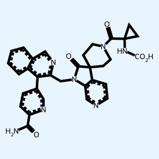 NC(=O)c1ccc(-c2c(CN3C(=O)C4(CCN(C(=O)C5(NC(=O)O)CC5)CC4)c4ccncc43)ncc3ccccc23)cn1